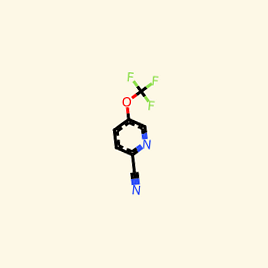 N#Cc1ccc(OC(F)(F)F)cn1